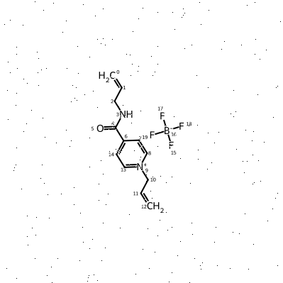 C=CCNC(=O)c1cc[n+](CC=C)cc1.F[B-](F)(F)F